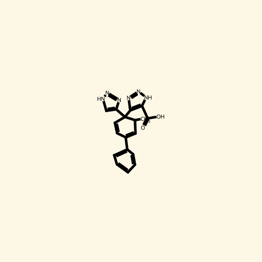 CC1C=C(c2ccccc2)C=CC1(c1c[nH]nn1)c1nn[nH]c1C(=O)O